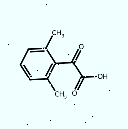 Cc1cccc(C)c1C(=O)C(=O)O